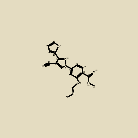 COCOc1cc(-n2cc(C#N)c(-c3cccs3)n2)ccc1C(=O)OC